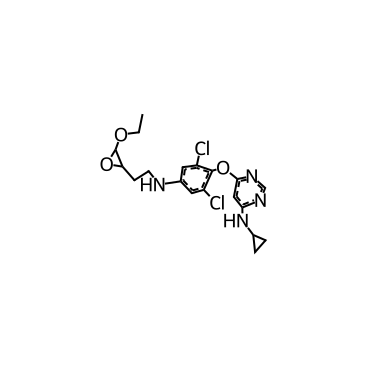 CCOC1OC1CCNc1cc(Cl)c(Oc2cc(NC3CC3)ncn2)c(Cl)c1